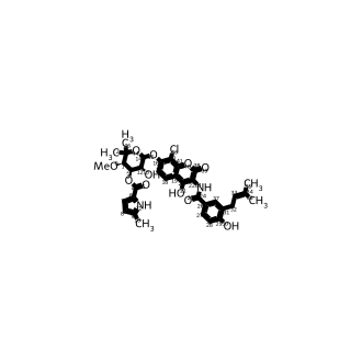 CO[C@H]1[C@H](OC(=O)c2ccc(C)[nH]2)[C@H](O)C(Oc2ccc3c(O)c(NC(=O)c4ccc(O)c(CC=C(C)C)c4)c(=O)oc3c2Cl)OC1(C)C